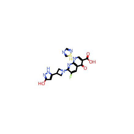 O=C(O)c1cn([SH]2C=NC=N2)c2nc(N3CC(c4cc(O)n[nH]4)C3)c(F)cc2c1=O